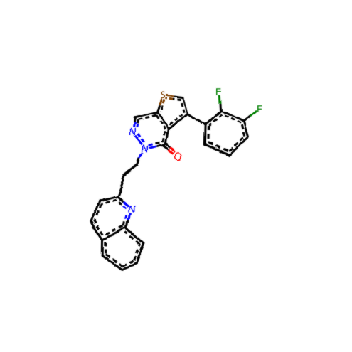 O=c1c2c(-c3cccc(F)c3F)csc2cnn1CCc1ccc2ccccc2n1